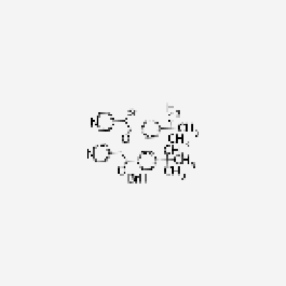 Br.CC(C)(C)c1ccc(C(=O)C(Br)c2ccncc2)cc1.CC(C)(C)c1ccc(C(=O)Cc2ccncc2)cc1